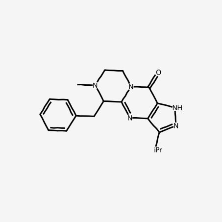 CC(C)c1n[nH]c2c(=O)n3c(nc12)C(Cc1ccccc1)N(C)CC3